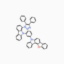 c1ccc(-c2nnn(-c3cccc4c5ccccc5n(-c5cccc(-n6c7ccccc7c7c8oc9ccccc9c8ccc76)c5)c34)c2-c2ccccc2)cc1